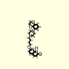 O=c1ccc2ccc(OCCCCN3CCN(c4cccc5c4OCCO5)CC3)nc2[nH]1